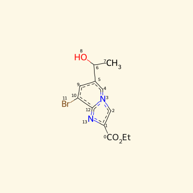 CCOC(=O)c1cn2cc(C(C)O)cc(Br)c2n1